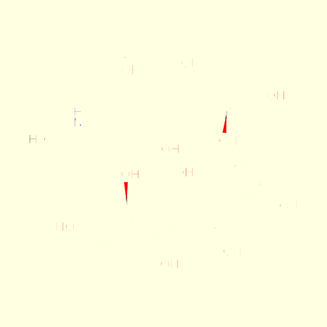 CNC[C@H](O)[C@@H](O)[C@H](O)[C@H](O)CO.O=C(O)[C@H](O)[C@@H](O)[C@H](O)[C@H](O)CO